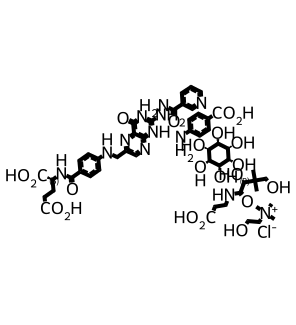 CC(C)(CO)[C@@H](O)C(=O)NCCC(=O)O.C[N+](C)(C)CCO.NC(=O)c1cccnc1.Nc1ccc(C(=O)O)cc1.Nc1nc(=O)c2nc(CNc3ccc(C(=O)N[C@@H](CCC(=O)O)C(=O)O)cc3)cnc2[nH]1.O[C@H]1[C@H](O)[C@@H](O)[C@H](O)[C@@H](O)[C@H]1O.[Cl-]